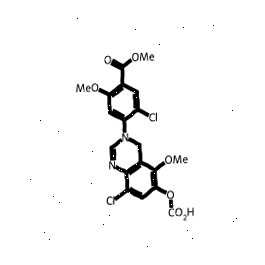 COC(=O)c1cc(Cl)c(N2C=Nc3c(Cl)cc(OC(=O)O)c(OC)c3C2)cc1OC